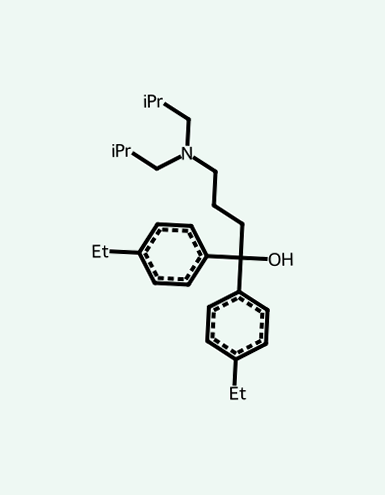 CCc1ccc(C(O)(CCCN(CC(C)C)CC(C)C)c2ccc(CC)cc2)cc1